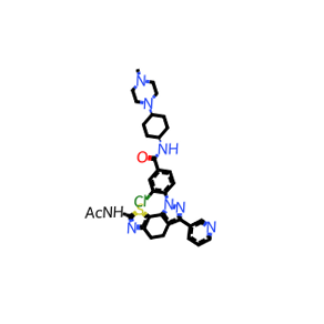 CC(=O)Nc1nc2c(s1)-c1c(c(-c3cccnc3)nn1-c1ccc(C(=O)N[C@H]3CC[C@H](N4CCN(C)CC4)CC3)cc1Cl)CC2